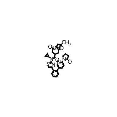 Cc1ccc(CC(CC(=O)O)C(=O)N(c2nc(-c3ccccc3-c3ccc(N4CCCC4=O)nc3)cs2)C2CC2)o1